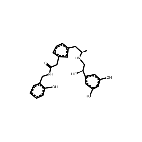 C[C@H](Cc1cccc(CC(=O)NCc2ccccc2O)c1)NC[C@H](O)c1cc(O)cc(O)c1